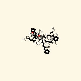 CC(C)C[C@@H](C(=O)N(C)[C@@H](CC(C)CCC(C)O)C(=O)N(C)[C@@H](CC(C)CCC(O)Cc1ccccc1)C(=O)N(C)[C@@H](CC(C)CCC(C)O)C(=O)C(Cc1ccccc1)(OC(C)(C)C)C(=O)O)N(C)Cc1ccccc1